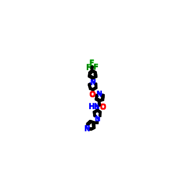 O=C(NC1CCN(Cc2ccncc2)CC1)c1ccnc(OC2CCN(c3ccc(C(F)(F)F)cc3)CC2)c1